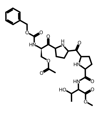 COC(=O)C(NC(=O)C1CCC(C(=O)C2CCC(C(=O)[C@@H](COC(C)=O)NC(=O)OCc3ccccc3)N2)N1)C(C)O